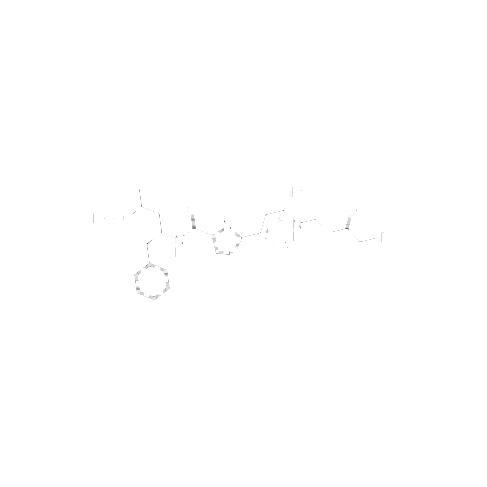 CC(=O)O[C@H](C[C@@H](NCOC(=O)CC(C)C)C(C)C)c1nc(C(=O)N[C@@H](Cc2ccccc2)C[C@H](C)C(=O)O)cs1